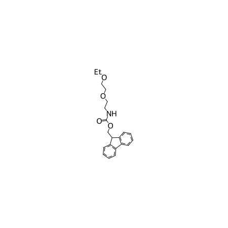 CCOCCOCCNC(=O)OCC1c2ccccc2-c2ccccc21